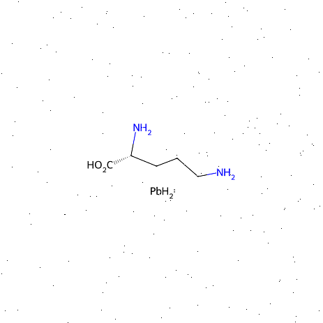 NCCC[C@@H](N)C(=O)O.[PbH2]